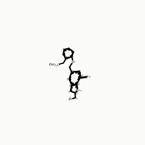 CCOC(=O)Cc1ccccc1OCc1cc(I)c2oc(CC(C)C)cc2c1